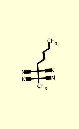 CCC=CCC(C#N)(C#N)C(C)(C#N)C#N